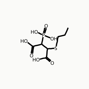 CCCSC(C(=O)O)C(C(=O)O)P(=O)(O)O